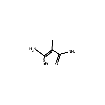 CCCC(N)=C(C)C(N)=O